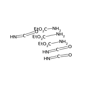 CCOC(N)=O.CCOC(N)=O.CCOC(N)=O.N=C=O.N=C=O.N=C=O